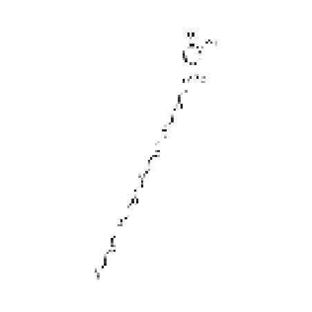 COCCOCCOCCOCCOCCOCCOCCOCCOC(=O)c1ccc(O)c(O)c1